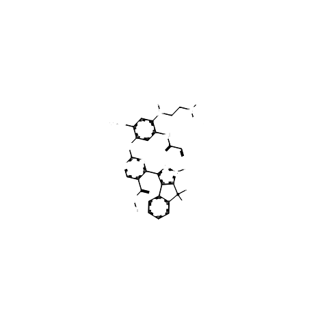 C=CC(=O)Nc1cc(Nc2ncc(C(=O)OC(C)C)c(-c3nn(C)c4c3-c3ccccc3C4(F)F)n2)c(OC)cc1N(C)CCN(C)C